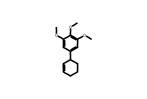 COc1cc(C2C=CCCC2)cc(OC)c1OC